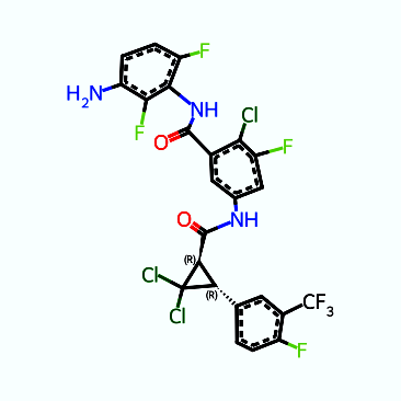 Nc1ccc(F)c(NC(=O)c2cc(NC(=O)[C@H]3[C@H](c4ccc(F)c(C(F)(F)F)c4)C3(Cl)Cl)cc(F)c2Cl)c1F